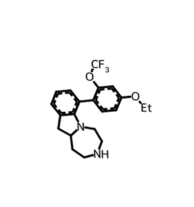 CCOc1ccc(-c2cccc3c2N2CCNCCC2C3)c(OC(F)(F)F)c1